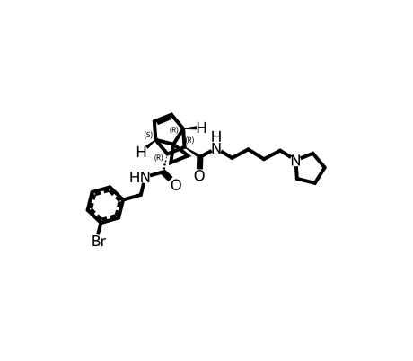 O=C(NCCCCN1CCCC1)[C@H]1[C@H](C(=O)NCc2cccc(Br)c2)[C@@H]2C=C[C@H]1C21CC1